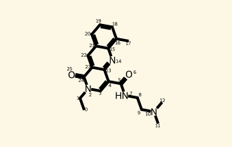 CCn1cc(C(=O)NCCN(C)C)c2nc3c(C)cccc3cc2c1=O